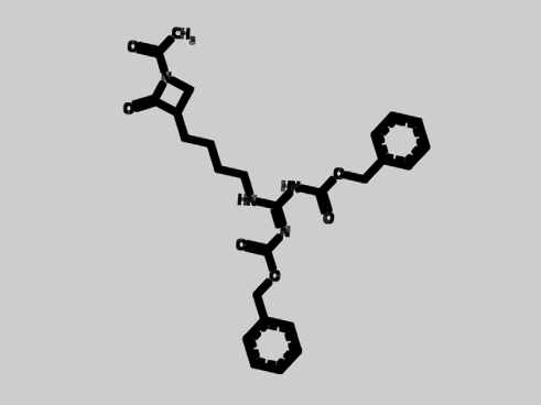 CC(=O)N1CC(CCCCN/C(=N\C(=O)OCc2ccccc2)NC(=O)OCc2ccccc2)C1=O